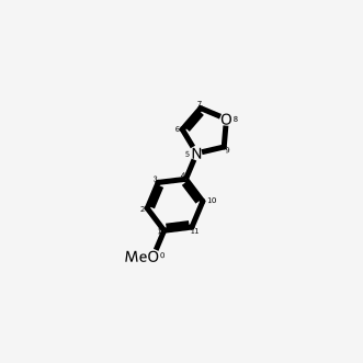 COc1ccc(N2C=COC2)cc1